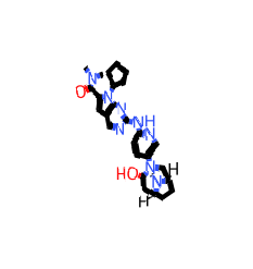 CN(C)C(=O)c1cc2cnc(Nc3ccc(N4C[C@H]5CC[C@@H](CC4O)N5C)cn3)nc2n1C1CCCC1